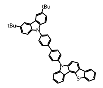 CC(C)(C)c1ccc2c(c1)c1cc(C(C)(C)C)ccc1n2-c1ccc(-c2ccc(-n3c4ccccc4c4c5sc6ccccc6c5ccc43)cc2)cc1